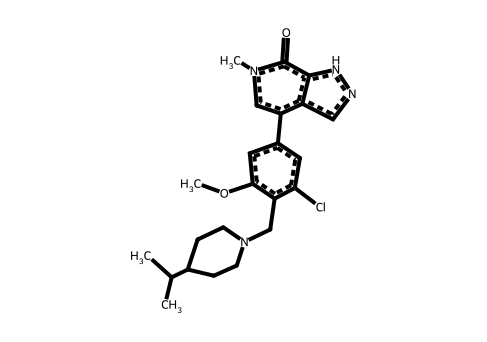 COc1cc(-c2cn(C)c(=O)c3[nH]ncc23)cc(Cl)c1CN1CCC(C(C)C)CC1